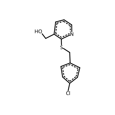 OCc1cccnc1SCc1ccc(Cl)cc1